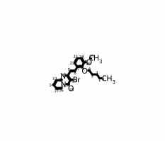 CCCCCOc1c(C=Cc2nc3ccccn3c(=O)c2Br)cccc1OC